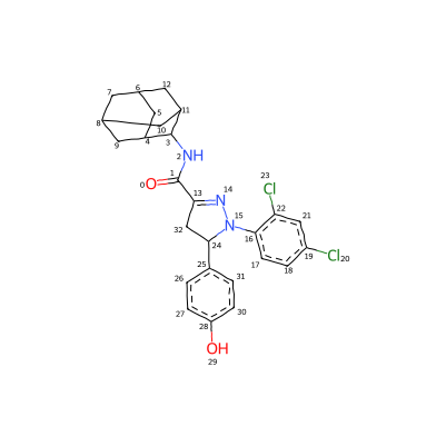 O=C(NC1C2CC3CC(C2)CC1C3)C1=NN(c2ccc(Cl)cc2Cl)C(c2ccc(O)cc2)C1